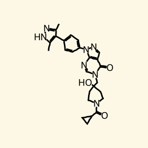 Cc1n[nH]c(C)c1-c1ccc(-n2ncc3c(=O)n(CC4(O)CCN(C(=O)C5CC5)CC4)cnc32)cc1